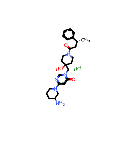 C[C@H](CC(=O)N1CCC(O)(Cn2cnc(N3CCC[C@H](N)C3)cc2=O)CC1)c1ccccc1.Cl